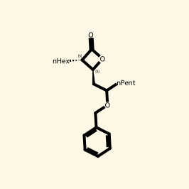 CCCCCC[C@@H]1C(=O)O[C@H]1CC(CCCCC)OCc1ccccc1